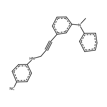 CN(c1ccccc1)c1cccc(C#CCNc2ccc(C#N)cc2)c1